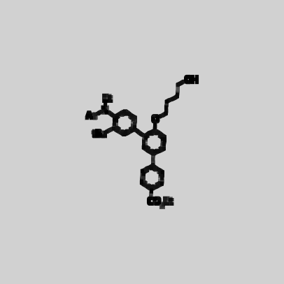 CCOC(=O)c1ccc(-c2ccc(OCCCCO)c(-c3ccc(N(CC)C(C)=O)c(C(C)(C)C)c3)c2)cc1